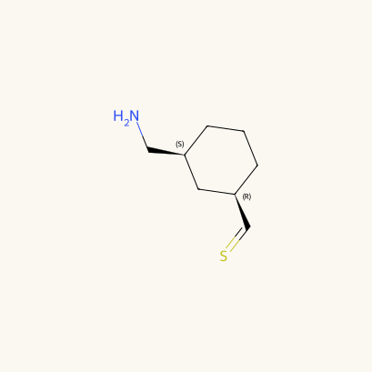 NC[C@H]1CCC[C@@H](C=S)C1